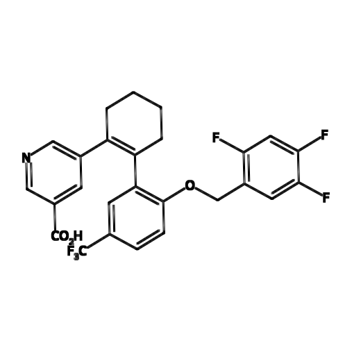 O=C(O)c1cncc(C2=C(c3cc(C(F)(F)F)ccc3OCc3cc(F)c(F)cc3F)CCCC2)c1